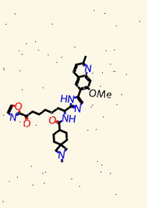 COc1cc2nc(C)ccc2cc1-c1cnc(C(CCCCCC(=O)c2ncco2)NC(=O)C2CCC3(CC2)CN(C)C3)[nH]1